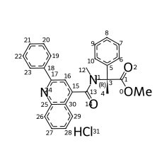 COC(=O)[C@@](C)(c1ccccc1)N(C)C(=O)c1cc(-c2ccccc2)nc2ccccc12.Cl